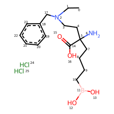 CCN(CCC(N)(CCCCB(O)O)C(=O)O)Cc1ccccc1.Cl.Cl